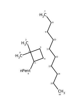 [CH2]C1(C)CCC1CCCCC.[CH2]CCCCCCCCC